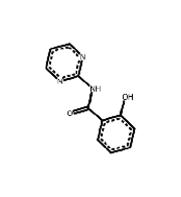 O=C(Nc1ncccn1)c1ccccc1O